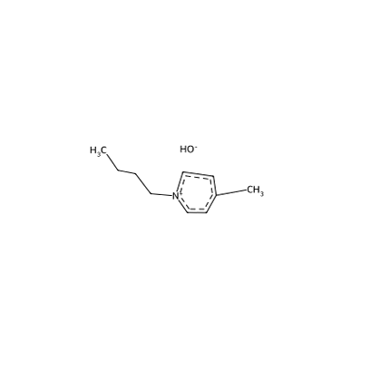 CCCC[n+]1ccc(C)cc1.[OH-]